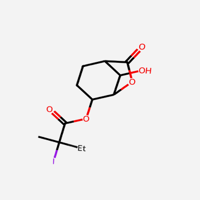 CCC(C)(I)C(=O)OC1CCC2C(=O)OC1C2O